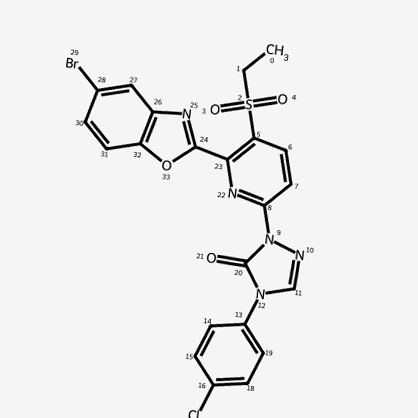 CCS(=O)(=O)c1ccc(-n2ncn(-c3ccc(Cl)cc3)c2=O)nc1-c1nc2cc(Br)ccc2o1